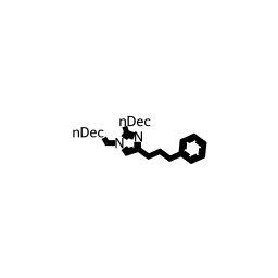 CCCCCCCCCCCn1cc(CCCc2ccccc2)nc1CCCCCCCCCC